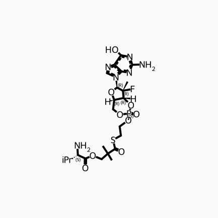 CC(C)[C@H](N)C(=O)OCC(C)(C)C(=O)SCCO[P@]1(=O)OC[C@H]2O[C@@H](n3cnc4c(O)nc(N)nc43)[C@](C)(F)[C@@H]2O1